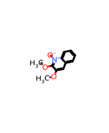 COc1cc2ccccc2[n+]([O-])c1OC